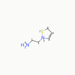 NCCN1C=CCS1